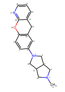 CN1CC2CN(c3ccc4c(c3)Cc3cccnc3O4)CC2C1